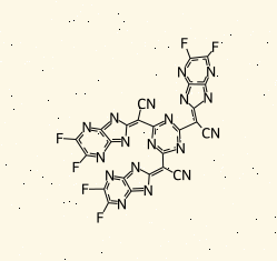 N#CC(=C1N=c2nc(F)c(F)nc2=N1)c1nc(C(C#N)=C2N=c3nc(F)c(F)nc3=N2)nc(C(C#N)=C2N=c3nc(F)c(F)nc3=N2)n1